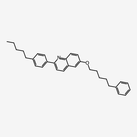 CCCCCc1ccc(-c2ccc3cc(OCCCCCc4ccccc4)ccc3n2)cc1